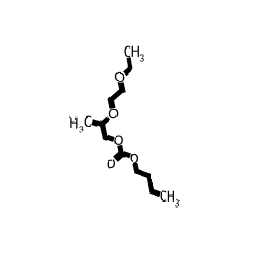 CCCCOC(=O)OCC(C)OCCOCC